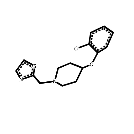 Clc1ccccc1OC1CCN(Cc2nc[c]s2)CC1